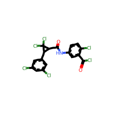 O=C(Cl)c1cc(NC(=O)C2C(c3cc(Cl)cc(Cl)c3)C2(Cl)Cl)ccc1Cl